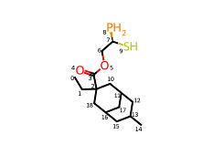 CCC1(C(=O)OC[C@@H](P)S)CC2CC(C)CC(C2)C1